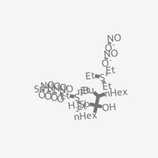 CCCCCCC(CCCC)[C](O)([SbH2])CCCCCC.CC[S+](CC)CC.CC[S+](CC)CC.O=N[O-].O=N[O-].O=N[O-].O=N[O-].O=N[O-].O=N[O-].[SrH2]